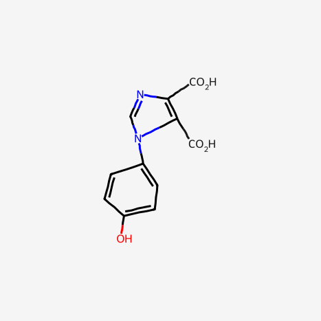 O=C(O)c1ncn(-c2ccc(O)cc2)c1C(=O)O